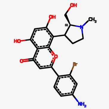 CN1CCC(c2c(O)cc(O)c3c(=O)cc(-c4ccc(N)cc4Br)oc23)[C@H]1CO